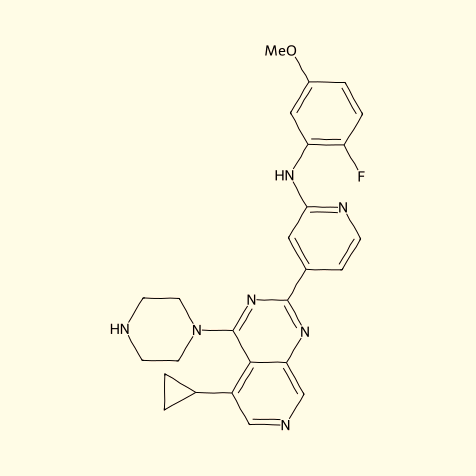 COc1ccc(F)c(Nc2cc(-c3nc(N4CCNCC4)c4c(C5CC5)cncc4n3)ccn2)c1